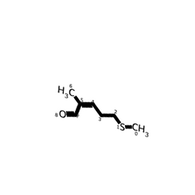 CSCCC=C(C)C=O